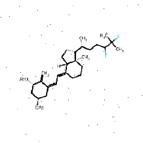 C=C1/C(=C\C=C2/CCC[C@]3(C)[C@@H]([C@H](C)CCC(F)C(C)(C)F)CC[C@@H]23)C[C@@H](OC(C)=O)C[C@@H]1OC(C)=O